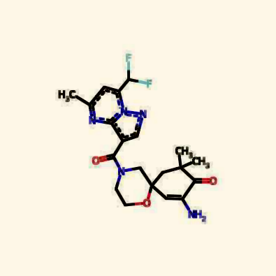 Cc1cc(C(F)F)n2ncc(C(=O)N3CCOC4(C=C(N)C(=O)C(C)(C)C4)C3)c2n1